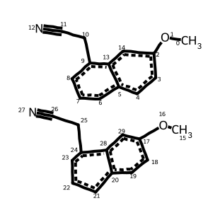 COc1ccc2cccc(CC#N)c2c1.COc1ccc2cccc(CC#N)c2c1